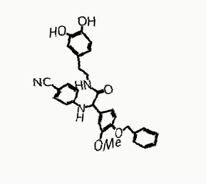 COc1cc(C(Nc2ccc(C#N)cc2)C(=O)NCCc2ccc(O)c(O)c2)ccc1OCc1ccccc1